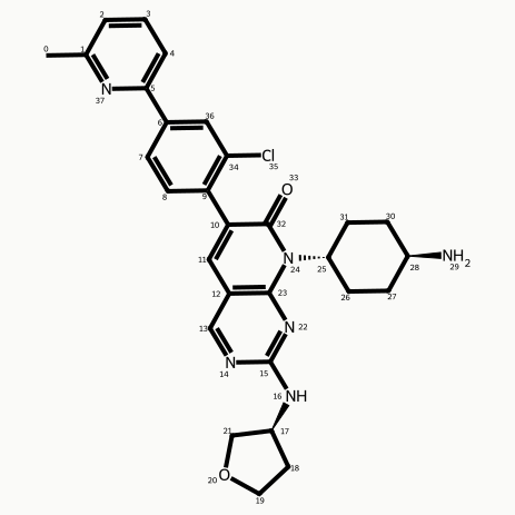 Cc1cccc(-c2ccc(-c3cc4cnc(N[C@H]5CCOC5)nc4n([C@H]4CC[C@H](N)CC4)c3=O)c(Cl)c2)n1